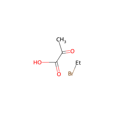 CC(=O)C(=O)O.CCBr